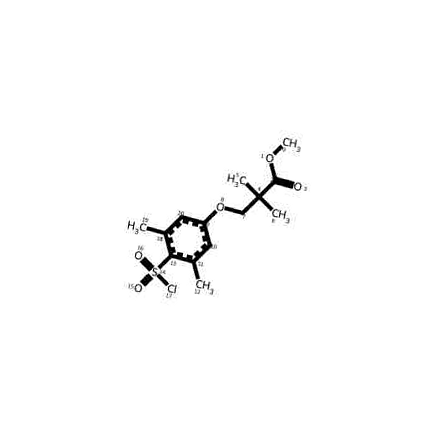 COC(=O)C(C)(C)COc1cc(C)c(S(=O)(=O)Cl)c(C)c1